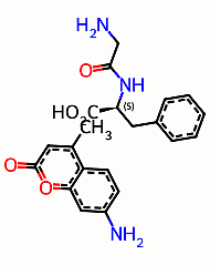 Cc1cc(=O)oc2cc(N)ccc12.NCC(=O)N[C@@H](Cc1ccccc1)C(=O)O